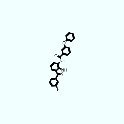 O=C(Nc1cccc2c(-c3cccc(F)c3)n[nH]c12)c1cccc(Oc2ccccc2)c1